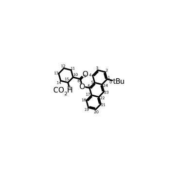 CC(C)(C)c1cccc2c(OC(=O)C3CCCCC3C(=O)O)c3ccccc3cc12